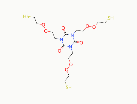 O=c1n(CCOOCCS)c(=O)n(CCOOCCS)c(=O)n1CCOOCCS